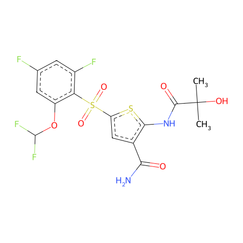 CC(C)(O)C(=O)Nc1sc(S(=O)(=O)c2c(F)cc(F)cc2OC(F)F)cc1C(N)=O